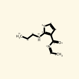 C/C=N\C(=O)c1ccsc1NCCC